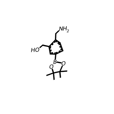 CC1(C)OB(c2ccc(CN)c(CO)c2)OC1(C)C